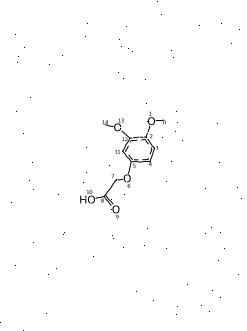 COc1ccc(OCC(=O)O)cc1OC